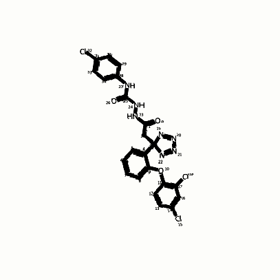 O=C(CC1(c2ccccc2Oc2ccc(Cl)cc2Cl)N=NN=N1)NNC(=O)Nc1ccc(Cl)cc1